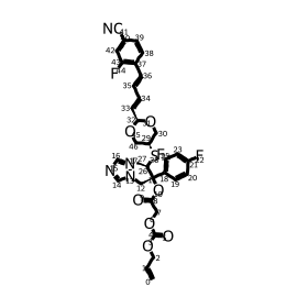 C=CCOC(=O)OCC(=O)O[C@@](Cn1cncn1)(c1ccc(F)cc1F)[C@@H](C)S[C@H]1CO[C@H](C=CC=Cc2ccc(C#N)cc2F)OC1